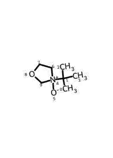 CC(C)(C)[N+]1([O-])CCOC1